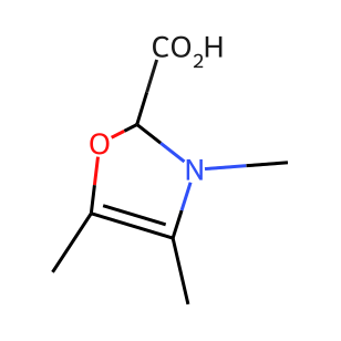 CC1=C(C)N(C)C(C(=O)O)O1